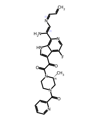 C=C/C=N\C=C(/N)c1ncc(F)c2c(C(=O)C(=O)N3CCN(C(=O)c4ccccn4)C[C@H]3C)c[nH]c12